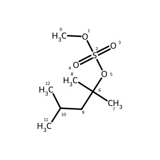 COS(=O)(=O)OC(C)(C)CC(C)C